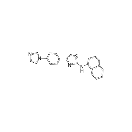 c1ccc2c(Nc3nc(-c4ccc(-n5ccnc5)cc4)cs3)cccc2c1